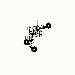 CC(C)C[C@H](NC(=O)OCc1ccccc1)C(=O)NC(O)C(=O)CNC(=O)c1ccccc1OCc1ccccc1